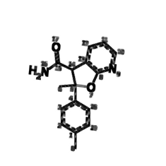 Cc1ccc(C2(C)Oc3ncccc3C2C(N)=O)cc1